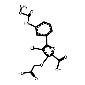 COC(=O)Nc1cccc(-c2sc(C(=O)O)c(OCC(=O)O)c2Cl)c1